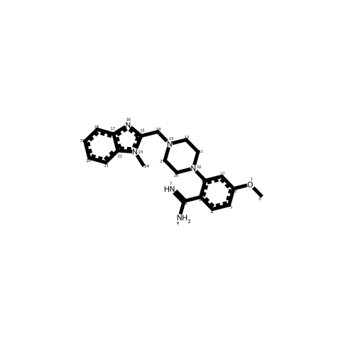 COc1ccc(C(=N)N)c(N2CCN(Cc3nc4ccccc4n3C)CC2)c1